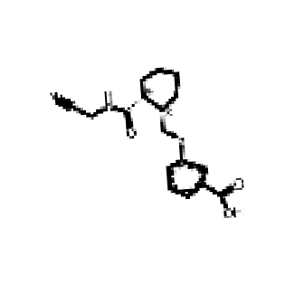 N#CCNC(=O)[C@@H]1CCCC[C@H]1CSc1cccc(C(=O)O)c1